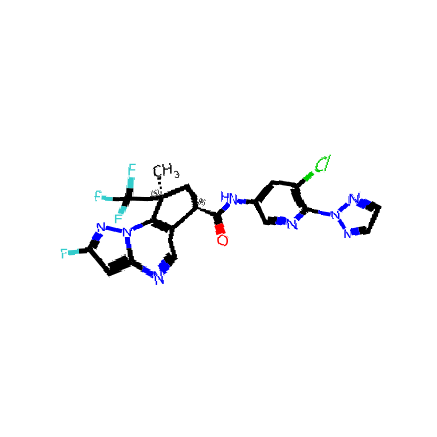 C[C@]1(C(F)(F)F)C[C@@H](C(=O)Nc2cnc(-n3nccn3)c(Cl)c2)c2cnc3cc(F)nn3c21